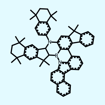 CC1(C)CCC(C)(C)c2cc(N3c4cc5c(c6c4B(C4C3c3cc7c(cc3C4(C)C)C(C)(C)CCC7(C)C)n3c4ccc7ccccc7c4c4cccc-6c43)-c3ccccc3C5(C)C)ccc21